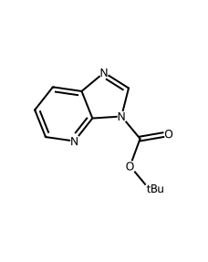 CC(C)(C)OC(=O)n1cnc2cccnc21